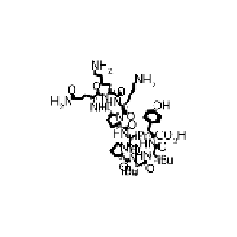 CC[C@H](C)[C@H](NC(=O)[C@@H](NC(=O)[C@@H]1CCCN1C(=O)[C@@H](NC(=O)[C@@H]1CCCN1C(=O)[C@H](CCCCN)NC(=O)[C@H](CCCCN)NC(=O)[C@@H](N)CCC(N)=O)C(C)C)[C@@H](C)CC)C(=O)N[C@@H](Cc1ccc(O)cc1)C(=O)O